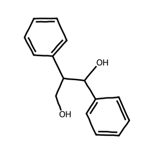 OCC(c1ccccc1)C(O)c1ccccc1